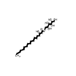 CCCCCCCCCCCCCCCC(O)CC(=O)OC[C@H](O)[C@H](O)[C@@H](O)[C@@H](O)CO